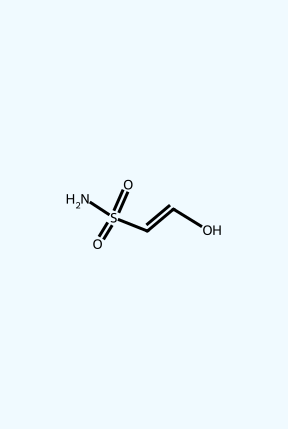 NS(=O)(=O)C=CO